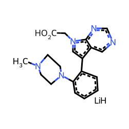 CN1CCN(c2ccccc2-c2cn(CC(=O)O)c3ncncc23)CC1.[LiH]